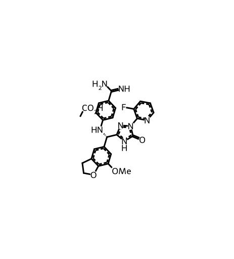 CC(=O)O.COc1cc([C@H](Nc2ccc(C(=N)N)cc2)c2nn(-c3ncccc3F)c(=O)[nH]2)cc2c1OCC2